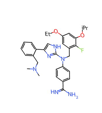 CCOc1cc(CN(c2ccc(C(=N)N)cc2)c2nc(-c3ccccc3CN(C)C)c[nH]2)c(F)c(OC(C)C)c1